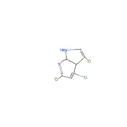 ClC1=CNC2N=C(Cl)C=C(Cl)C12